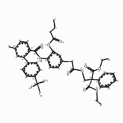 CCCC(=O)Oc1cc(CC(=O)OCC(C(=O)OCC)(C(=O)OCC)c2ccccc2)ccc1NC(=O)c1ccc(C)cc1-c1ccc(C(F)(F)F)cc1